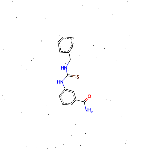 NC(=O)c1cccc(NC(=S)NCc2ccccc2)c1